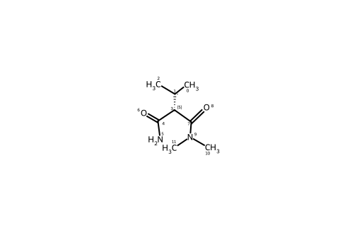 C[C](C)[C@@H](C(N)=O)C(=O)N(C)C